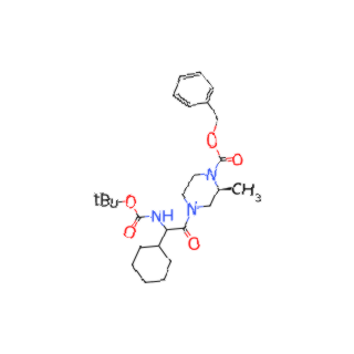 C[C@H]1CN(C(=O)C(NC(=O)OC(C)(C)C)C2CCCCC2)CCN1C(=O)OCc1ccccc1